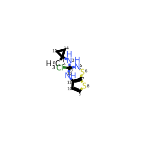 CC1(NC2(Cl)NSc3sccc3N2)CC1